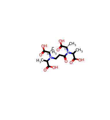 CC(C(=O)O)N(CCC(=O)N(C(C)C(=O)O)[C@@H](C)C(=O)O)[C@@H](C)C(=O)O